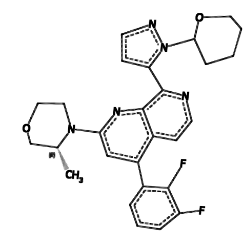 C[C@@H]1COCCN1c1cc(-c2cccc(F)c2F)c2ccnc(-c3ccnn3C3CCCCO3)c2n1